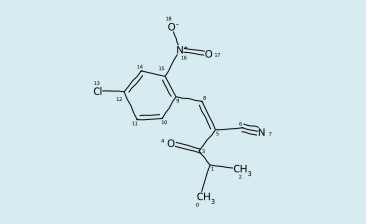 CC(C)C(=O)C(C#N)=Cc1ccc(Cl)cc1[N+](=O)[O-]